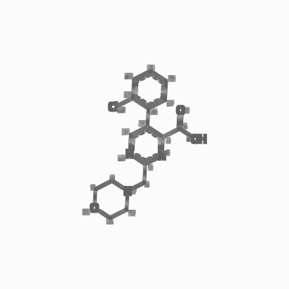 O=C(O)c1nc(CN2CCOCC2)ncc1-c1ccccc1Cl